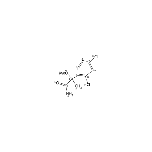 COC(C)(C(N)=O)c1ccc(Cl)cc1Cl